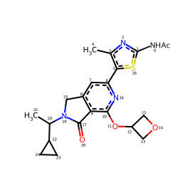 CC(=O)Nc1nc(C)c(-c2cc3c(c(OC4COC4)n2)C(=O)N(C(C)C2CC2)C3)s1